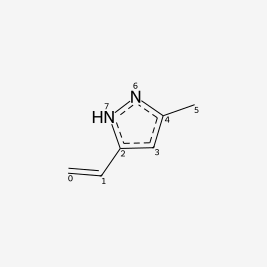 C=Cc1cc(C)n[nH]1